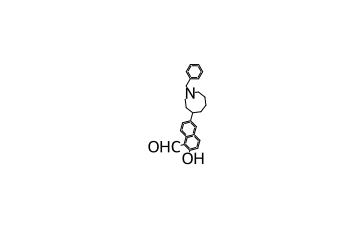 O=Cc1c(O)ccc2cc(C3CCCCN(Cc4ccccc4)CC3)ccc12